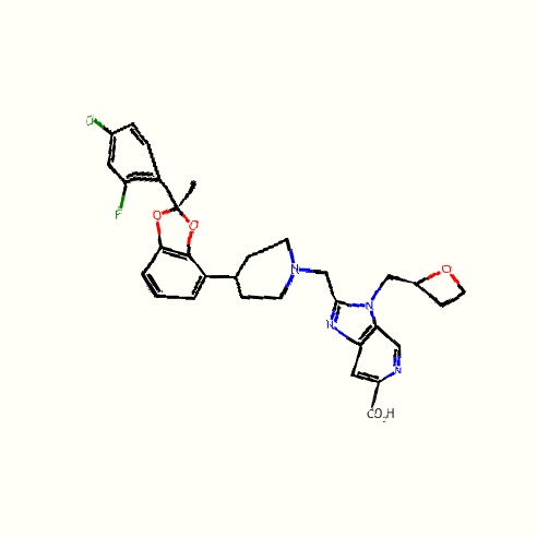 C[C@]1(c2ccc(Cl)cc2F)Oc2cccc(C3CCN(Cc4nc5cc(C(=O)O)ncc5n4C[C@@H]4CCO4)CC3)c2O1